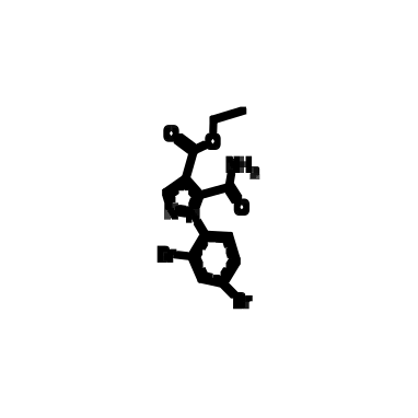 CCOC(=O)c1cnn(-c2ccc(Br)cc2Br)c1C(N)=O